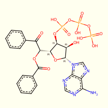 Nc1ncnc2c1ncn2[C@@H]1O[C@H](C(OC(=O)c2ccccc2)C(=O)c2ccccc2)[C@@H](OP(=O)(O)OP(=O)(O)OP(=O)(O)O)[C@H]1O